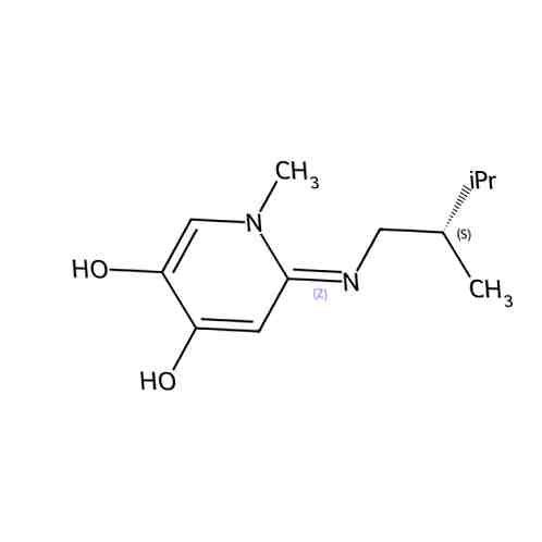 CC(C)[C@H](C)C/N=c1/cc(O)c(O)cn1C